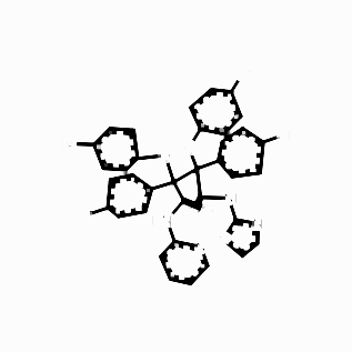 O=C(Nc1ccccn1)C(Oc1ccc(Br)cc1)(c1ccc(Cl)cc1)C(Oc1ccc(Br)cc1)(C(=O)Nc1nccs1)c1ccc(Cl)cc1